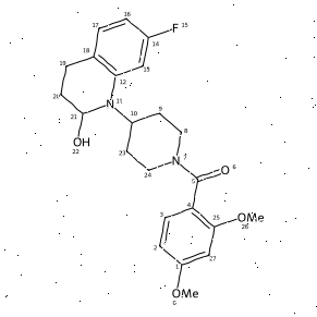 COc1ccc(C(=O)N2CCC(N3c4cc(F)ccc4CCC3O)CC2)c(OC)c1